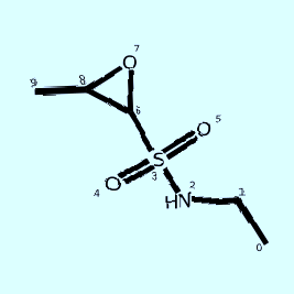 CCNS(=O)(=O)C1OC1C